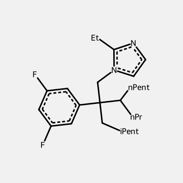 CCCCCC(CCC)C(CC(C)CCC)(Cn1ccnc1CC)c1cc(F)cc(F)c1